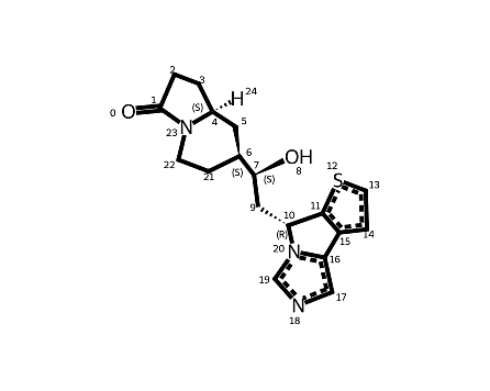 O=C1CC[C@H]2C[C@@H]([C@@H](O)C[C@@H]3c4sccc4-c4cncn43)CCN12